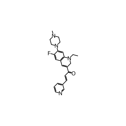 CCN1CC(C(=O)C=Cc2cccnc2)=Cc2cc(F)c(N3CCN(C)CC3)cc21